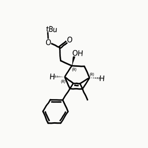 CC1=C(c2ccccc2)[C@H]2CC[C@@H]1C[C@@]2(O)CC(=O)OC(C)(C)C